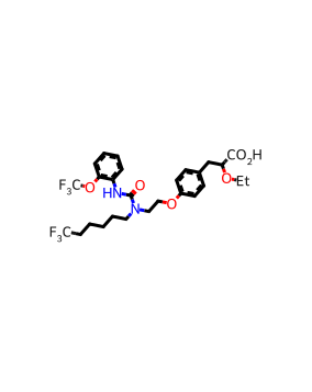 CCOC(Cc1ccc(OCCN(CCCCCC(F)(F)F)C(=O)Nc2ccccc2OC(F)(F)F)cc1)C(=O)O